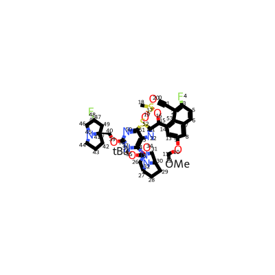 C#Cc1c(F)ccc2cc(OCOC)cc(C(OS(C)(=O)=O)c3nc4c(N5CC6CCC(C5)N6C(=O)OC(C)(C)C)nc(OC[C@@]56CCCN5C[C@H](F)C6)nc4s3)c12